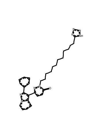 O=c1ccc(-c2c(-c3ccccc3)nn3ccccc23)nn1CCCCCCCCCCCCc1nnn[nH]1